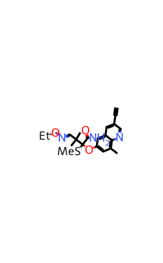 C#Cc1cnc2c(C)cc(OC(SC)(C(N)=O)C(C)(C)C=NOCC)cc2c1